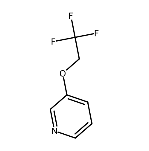 FC(F)(F)COc1cccnc1